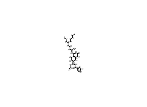 CCCCCC(CCC)CCCC(=O)Oc1cccc2c1CCC(N(CCC)CCc1cccs1)C2